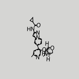 Cc1cc(-c2ccn3nc(NC(=O)C4CC4)cc3c2)c(O[C@H]2[C@@H]3CN(C)[C@H]2CO3)cn1